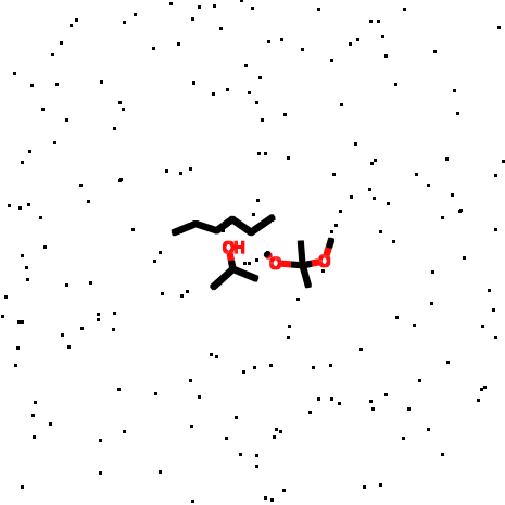 CC(C)O.CCCCCC.COC(C)(C)OC